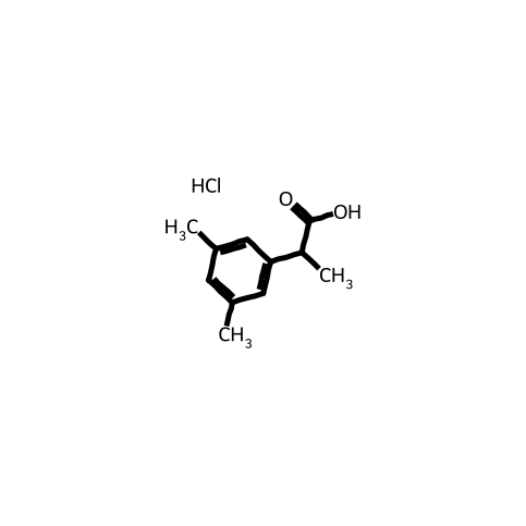 Cc1cc(C)cc(C(C)C(=O)O)c1.Cl